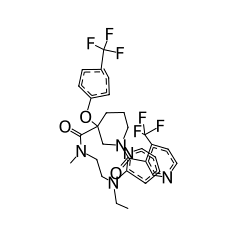 CCN(CCN(C)C(=O)C1(Oc2ccc(C(F)(F)F)cc2)CCCN(C(=O)c2cnccc2C(F)(F)F)C1)c1ccccn1